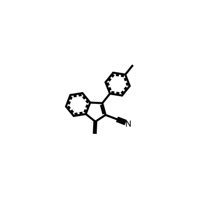 C=C1C(C#N)=C(c2ccc(C)cc2)c2ccccc21